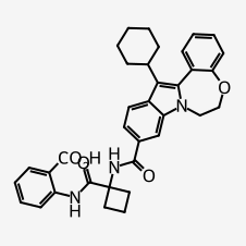 O=C(NC1(C(=O)Nc2ccccc2C(=O)O)CCC1)c1ccc2c(C3CCCCC3)c3n(c2c1)CCOc1ccccc1-3